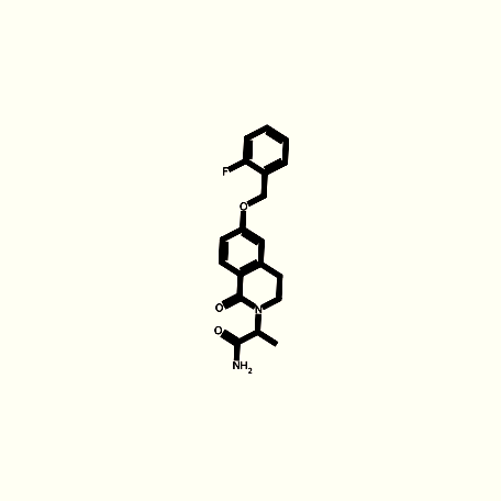 CC(C(N)=O)N1CCc2cc(OCc3ccccc3F)ccc2C1=O